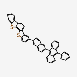 c1ccc(-c2c3ccccc3c(-c3ccc4cc(-c5ccc6sc7c(ccc8c9ccccc9sc87)c6c5)ccc4c3)c3ccccc23)cc1